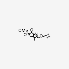 COC(=O)[C@@H]1Cc2c(nn(COCC[Si](C)(C)C)c2C)C1=O